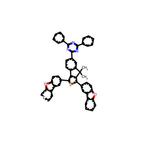 CC1(C)c2cc(-c3nc(-c4ccccc4)nc(-c4ccccc4)n3)ccc2-c2c(-c3ccc4oc5ccccc5c4c3)sc(-c3ccc4oc5ccccc5c4c3)c21